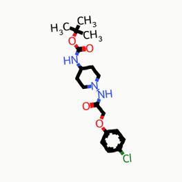 CC(C)(C)OC(=O)NC1CCN(NC(=O)COc2ccc(Cl)cc2)CC1